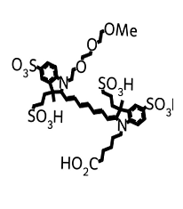 COCCOCCOCCN1c2ccc(S(=O)(=O)O)cc2C(C)(CCCS(=O)(=O)O)C1/C=C/C=C/C=C/C=C1/N(CCCCCC(=O)O)c2ccc(S(=O)(=O)O)cc2C1(C)CCCS(=O)(=O)O